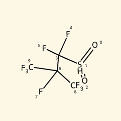 O=[SH](=O)C(F)(F)C(F)(C(F)(F)F)C(F)(F)F